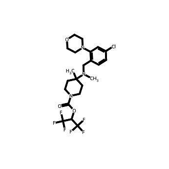 CN(Cc1ccc(Cl)cc1N1CCOCC1)C1(C)CCN(C(=O)OC(C(F)(F)F)C(F)(F)F)CC1